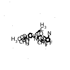 CC#CCn1c(N2CCC[C@@H](NC(=O)OC(C)(C)C)C2)nc2c1c(=O)n(Cc1cc(F)c(F)cc1C#N)c(=O)n2C